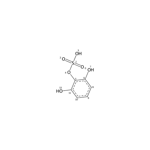 O=S(=O)(O)Oc1c(O)cccc1O